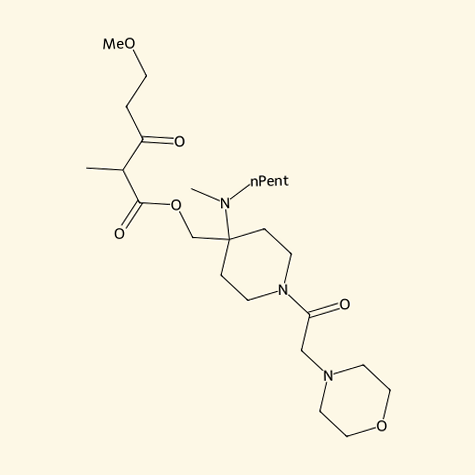 CCCCCN(C)C1(COC(=O)C(C)C(=O)CCOC)CCN(C(=O)CN2CCOCC2)CC1